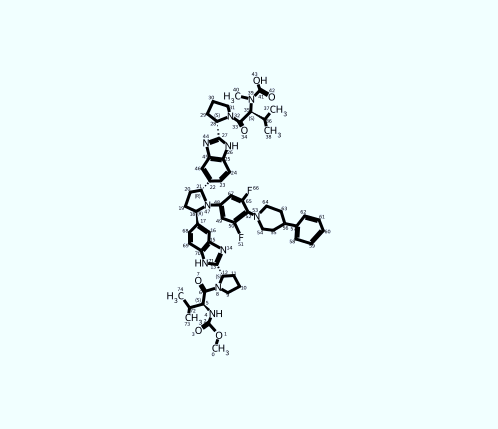 COC(=O)N[C@H](C(=O)N1CCC[C@H]1c1nc2cc([C@H]3CC[C@H](c4ccc5[nH]c([C@@H]6CCCN6C(=O)[C@H](C(C)C)N(C)C(=O)O)nc5c4)N3c3cc(F)c(N4CCC(c5ccccc5)CC4)c(F)c3)ccc2[nH]1)C(C)C